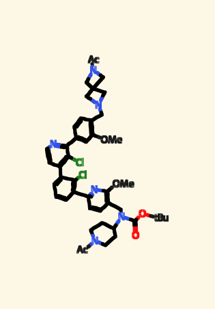 COc1cc(-c2nccc(-c3cccc(-c4ccc(CN(C(=O)OC(C)(C)C)C5CCN(C(C)=O)CC5)c(OC)n4)c3Cl)c2Cl)ccc1CN1CC2(C1)CN(C(C)=O)C2